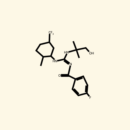 CC1CCC(C(F)(F)F)CC1N/C(=N\C(=O)c1ccc(F)cc1)NC(C)(C)CO